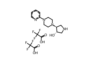 O=C(O)C(F)(F)F.O=C(O)C(F)(F)F.O[C@H]1CNC[C@@H]1N1CCN(c2ccccn2)CC1